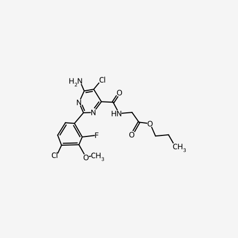 CCCOC(=O)CNC(=O)c1nc(-c2ccc(Cl)c(OC)c2F)nc(N)c1Cl